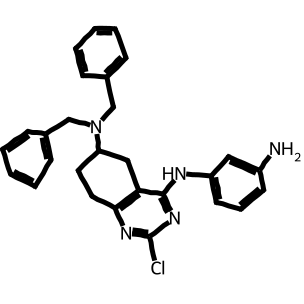 Nc1cccc(Nc2nc(Cl)nc3c2CC(N(Cc2ccccc2)Cc2ccccc2)CC3)c1